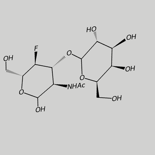 CC(=O)N[C@H]1C(O)O[C@H](CO)[C@@H](F)[C@@H]1OC1O[C@H](CO)[C@H](O)[C@H](O)[C@H]1O